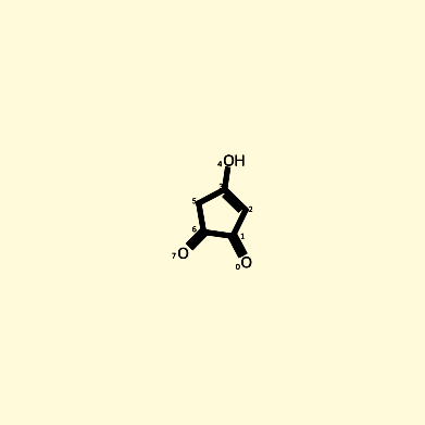 O=C1C=C(O)CC1=O